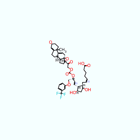 C[C@]12CCC(=O)C=C1CC[C@@H]1C2=CC[C@]23O[C@]2(C(=O)COC(=O)O[C@H](/C=C/[C@@H]2[C@@H](C/C=C\CCCC(=O)O)[C@@H](O)C[C@H]2O)COc2cccc(C(F)(F)F)c2)CC[C@@H]13